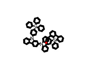 c1ccc([Si](c2ccccc2)(c2ccccc2)c2ccc(-n3c4ccccc4c4ccc(-n5c6ccccc6c6cc(-c7cccc8c7[Si](c7ccccc7)(c7ccccc7)c7ccccc7-8)ccc65)cc43)cc2)cc1